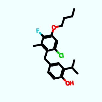 CCCCOc1cc(Cl)c(Cc2ccc(O)c(C(C)C)c2)c(C)c1F